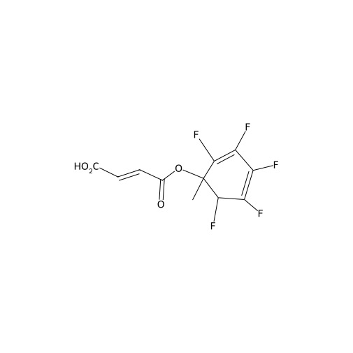 CC1(OC(=O)C=CC(=O)O)C(F)=C(F)C(F)=C(F)C1F